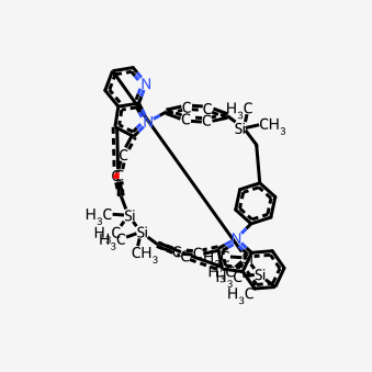 C[Si]1(C)Cc2ccc(cc2)-n2c3ccc4cc3c3cc(ccc32)[Si](C)(C)[Si](C)(C)c2cnc3c(c2)c2cc(ccc2n3-c2ccc1cc2)[Si](C)(C)[Si]4(C)C